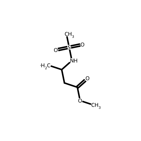 [CH2]C(CC(=O)OC)NS(C)(=O)=O